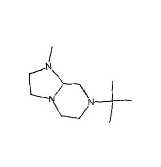 CN1CCN2CCN(C(C)(C)C)CC12